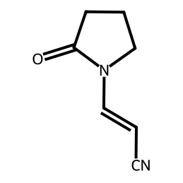 N#CC=CN1CCCC1=O